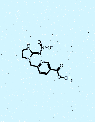 COC(=O)c1ccc(CN2CCNC2=N[N+](=O)[O-])nc1